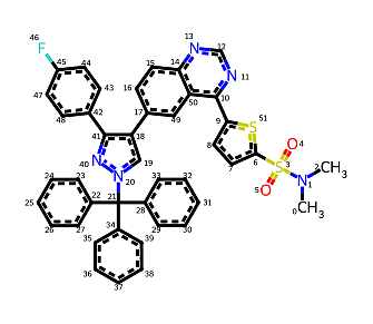 CN(C)S(=O)(=O)c1ccc(-c2ncnc3ccc(-c4cn(C(c5ccccc5)(c5ccccc5)c5ccccc5)nc4-c4ccc(F)cc4)cc23)s1